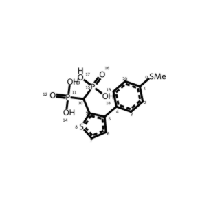 CSc1ccc(-c2ccsc2C(P(=O)(O)O)P(=O)(O)O)cc1